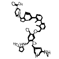 CNc1cncc(COc2cc(OCc3cccc(-c4cccc(-c5ccc6c(c5)CCC6N5CC[C@H](C(=O)O)C5)c4C)c3C)c(Cl)cc2CN[C@@H]2CCC[C@@H]2O)c1